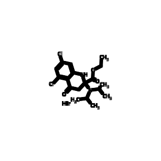 Br.CCOC(=O)C1(N(C(C)C)C(C)C)CC(=O)c2c(Cl)cc(Cl)cc2N1